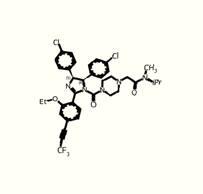 CCOc1cc(C#CC(F)(F)F)ccc1C1=N[C@@H](c2ccc(Cl)cc2)[C@@H](c2ccc(Cl)cc2)N1C(=O)N1CCN(CC(=O)N(C)C(C)C)CC1